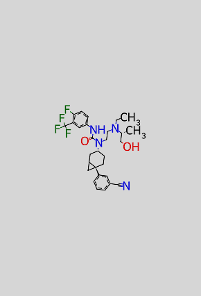 CCN(CCN(C(=O)Nc1ccc(F)c(C(F)(F)F)c1)[C@@H]1CC[C@]2(c3cccc(C#N)c3)CC2C1)[C@H](C)CO